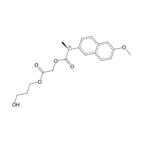 COc1ccc2cc([C@H](C)C(=O)OCC(=O)OCCCO)ccc2c1